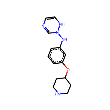 C1=CNN(Nc2cccc(OC3CCNCC3)c2)C=N1